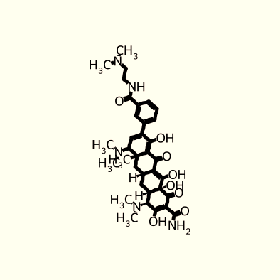 CN(C)CCNC(=O)c1cccc(C2=CC(N(C)C)C3(C)C[C@H]4C[C@H]5[C@H](N(C)C)C(O)=C(C(N)=O)C(=O)[C@@]5(O)C(O)=C4C(=O)C3=C2O)c1